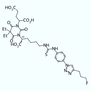 CCC1(CC)C(=O)N(C(CCC(=O)O)C(=O)O)C(=O)N([C@@H](CCCCNC(=S)Nc2ccc(-n3cc(CCCF)nn3)cc2)C(=O)O)C1=O